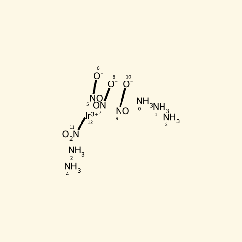 N.N.N.N.N.O=N[O-].O=N[O-].O=N[O-].O=[N+]([O-])[Ir+3]